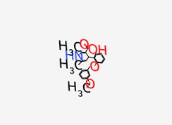 COc1cccc(COc2ccccc2C2C=C(C)NC(C)=C2C(=O)O)c1